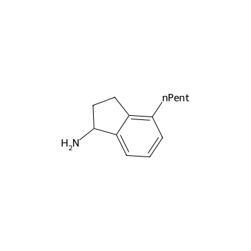 CCCCCc1cccc2c1CCC2N